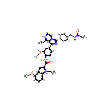 COc1cc(-c2nc([C@H]3CC[C@H](CNC(C)=O)CC3)n3ccnc(C)c23)ccc1NC(=O)c1cc2c(OC)cccc2n1C